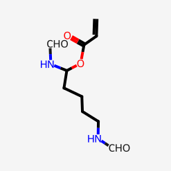 C=CC(=O)OC(CCCCNC=O)NC=O